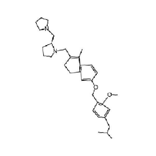 COc1cc(CC(C)C)ccc1COc1ccc2c(c1)CCC(CN1CCC[C@H]1CN1CCCC1)=C2C